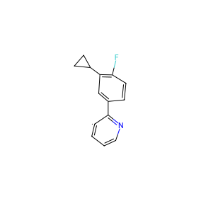 Fc1ccc(-c2[c]cccn2)cc1C1CC1